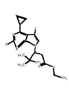 CCOC(=O)CC(n1cc(F)c2c(C3CC3)nc(Cl)nc21)C(C)(C)C